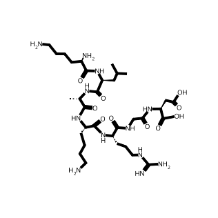 CC(C)C[C@H](NC(=O)[C@@H](N)CCCCN)C(=O)N[C@@H](C)C(=O)N[C@@H](CCCCN)C(=O)N[C@@H](CCCNC(=N)N)C(=O)NCC(=O)N[C@@H](CC(=O)O)C(=O)O